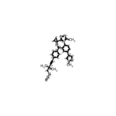 Cc1nnc2n1-c1ccc(-c3cnn(C)c3)cc1C(c1ccc(C#CC(C)(C)CN=[N+]=[N-])cc1)=NC21CC1